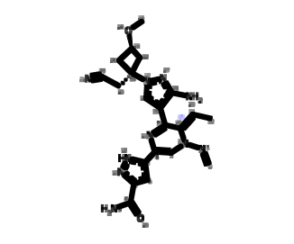 C=NN1C=C(c2cc(C(N)=O)n[nH]2)N=C(c2cn([C@]3(CC#N)C[C@H](OC)C3)nc2N)/C1=C/C